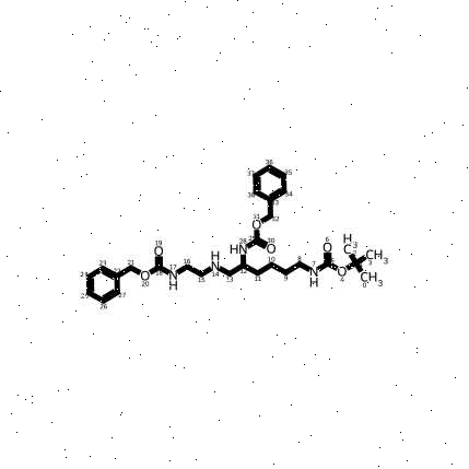 CC(C)(C)OC(=O)NCCCCC(CNCCNC(=O)OCc1ccccc1)NC(=O)OCc1ccccc1